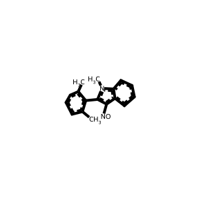 Cc1cccc(C)c1-c1c(N=O)c2ccccc2n1C